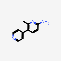 Cc1nc(N)ccc1-c1ccncc1